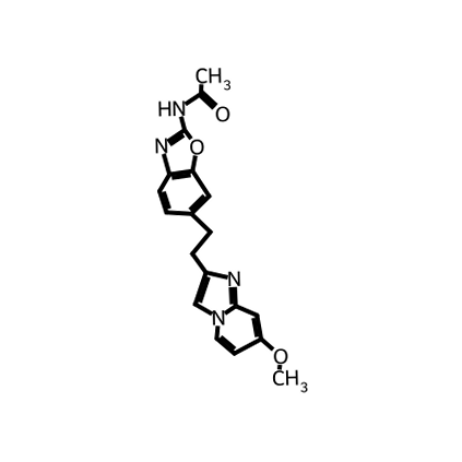 COc1ccn2cc(CCc3ccc4nc(NC(C)=O)oc4c3)nc2c1